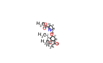 CCCc1c(OCc2cccc(C(=O)OC)n2)ccc(C(C)=O)c1OC